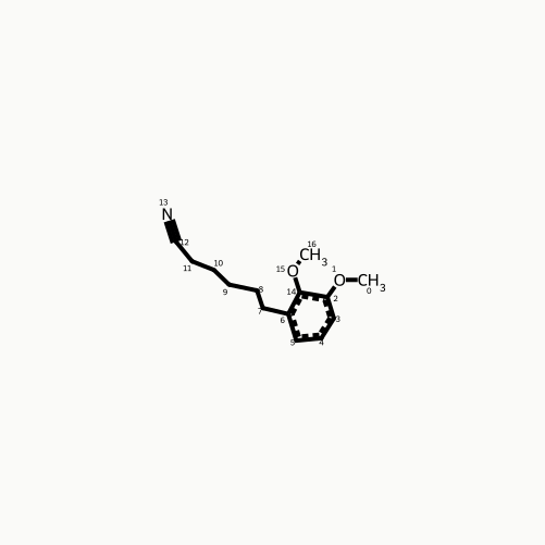 COc1cccc(CCCCCC#N)c1OC